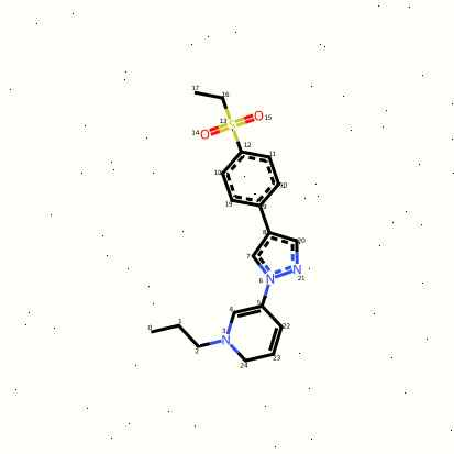 CCCN1C=C(n2cc(-c3ccc(S(=O)(=O)CC)cc3)cn2)C=CC1